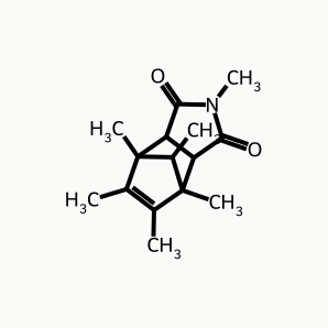 CC1=C(C)C2(C)C3C(=O)N(C)C(=O)C3C1(C)C2C